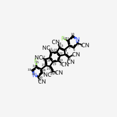 N#CC(C#N)=C1C(c2cc(C#N)ncc2F)=C(C#N)c2c(C#N)c3c(c(C#N)c21)C(=C(C#N)C#N)C(c1cc(C#N)ncc1F)=C3C#N